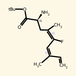 C=C/C(C)=C\C(F)=C(\C)C[C@H](N)C(=O)OC(C)(C)C